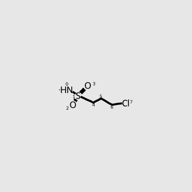 [NH]S(=O)(=O)CCCCl